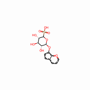 O=S(=O)(O)C1O[C@@H](Oc2ccc3cccoc2-3)[C@H](O)[C@@H](O)[C@@H]1O